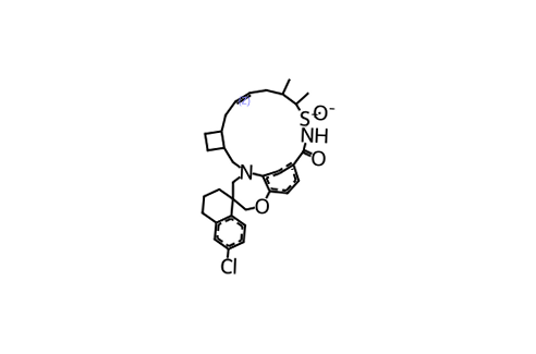 CC1C/C=C\CC2CCC2CN2CC3(CCCc4cc(Cl)ccc43)COc3ccc(cc32)C(=O)N[S+]([O-])C1C